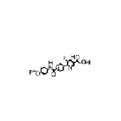 O=C(Nc1ccc(OCF)cc1)N1CC=C(c2ncc([C@H](O)CO)cc2F)CC1